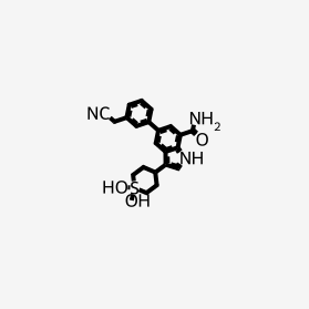 N#CCc1cccc(-c2cc(C(N)=O)c3[nH]cc(C4CCS(O)(O)CC4)c3c2)c1